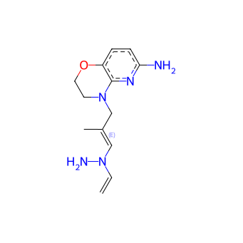 C=CN(N)/C=C(\C)CN1CCOc2ccc(N)nc21